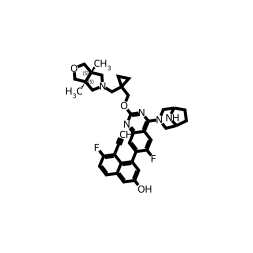 C#Cc1c(F)ccc2cc(O)cc(-c3cc4nc(OCC5(CN6C[C@@]7(C)COC[C@]7(C)C6)CC5)nc(N5CC6CCC(C5)N6)c4cc3F)c12